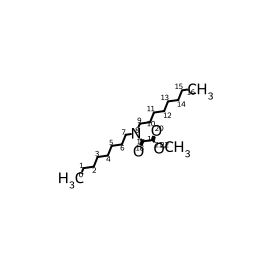 CCCCCCCCN(CCCCCCCC)C(=O)C(=O)OC